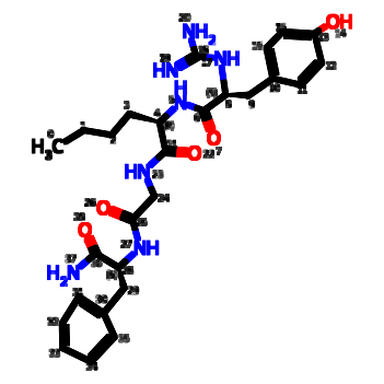 CCCC[C@@H](NC(=O)[C@H](Cc1ccc(O)cc1)NC(=N)N)C(=O)NCC(=O)N[C@@H](Cc1ccccc1)C(N)=O